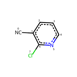 N#Cc1cc[c]nc1Cl